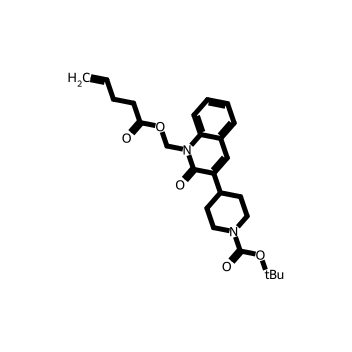 C=CCCC(=O)OCn1c(=O)c(C2CCN(C(=O)OC(C)(C)C)CC2)cc2ccccc21